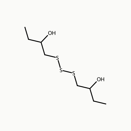 CCC(O)CSSSCC(O)CC